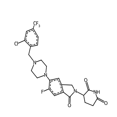 O=C1CCC(N2Cc3cc(N4CCN(Cc5ccc(C(F)(F)F)cc5Cl)CC4)c(F)cc3C2=O)C(=O)N1